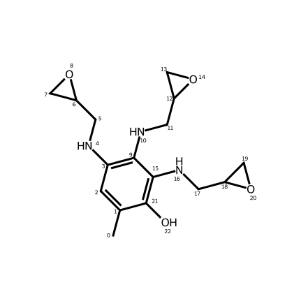 Cc1cc(NCC2CO2)c(NCC2CO2)c(NCC2CO2)c1O